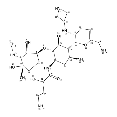 CN[C@@H]1[C@@H](O)[C@@H](O[C@H]2[C@H](NC(=O)N(O)CCN)C[C@H](N)C([C@H]3OC(CN)=CC[C@H]3NC3CNC3)[C@@H]2O)OC[C@]1(C)O